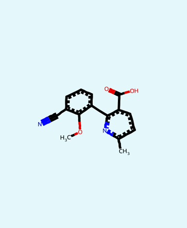 COc1c(C#N)cccc1-c1nc(C)ccc1C(=O)O